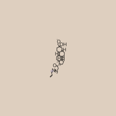 C=C/C=N\N(C)CC(=O)[C@H]1CC[C@H]2[C@@H]3CC[C@@H]4C[C@@](O)(COC)CC[C@@H]4[C@H]3CC[C@]12C